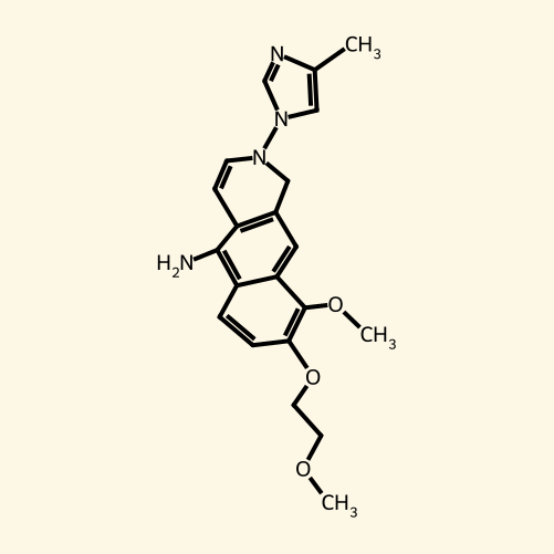 COCCOc1ccc2c(N)c3c(cc2c1OC)CN(n1cnc(C)c1)C=C3